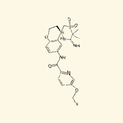 CC1(C)C(=N)N[C@@]2(CCOc3ccc(NC(=O)c4ccc(OCF)cn4)cc32)CS1(=O)=O